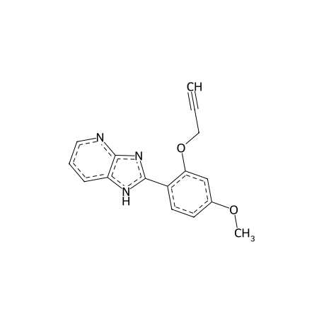 C#CCOc1cc(OC)ccc1-c1nc2ncccc2[nH]1